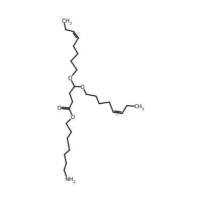 CC/C=C\CCCCOC(CCC(=O)OCCCCCCCN)OCCCC/C=C\CC